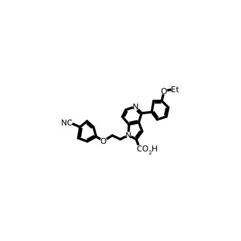 CCOc1cccc(-c2nccc3c2cc(C(=O)O)n3CCOc2ccc(C#N)cc2)c1